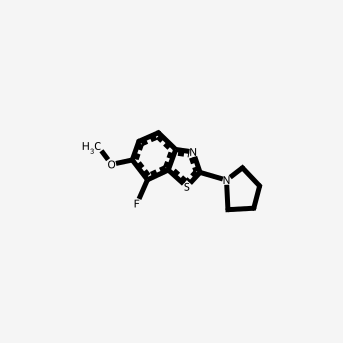 COc1ccc2nc(N3CCCC3)sc2c1F